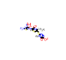 CCn1c(SCC2=C(C(=O)O)N3C(=O)C(NC(=O)/C(=N\O)c4csc(N)n4)[C@H]3SC2)nnc(O)c1=O